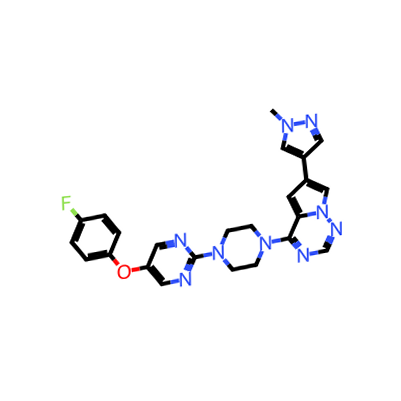 Cn1cc(-c2cc3c(N4CCN(c5ncc(Oc6ccc(F)cc6)cn5)CC4)ncnn3c2)cn1